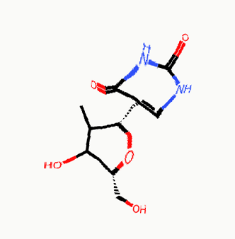 CC1C(O)[C@@H](CO)O[C@H]1c1c[nH]c(=O)[nH]c1=O